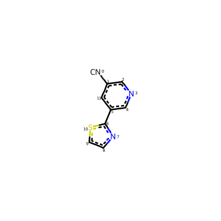 [C-]#[N+]c1cncc(-c2nccs2)c1